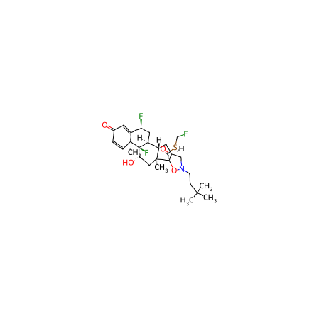 CC(C)(C)CCN1C[C@@H]2C[C@H]3[C@@H]4C[C@H](F)C5=CC(=O)C=C[C@]5(C)[C@@]4(F)[C@@H](O)C[C@]3(C)[C@]2(C(=O)SCF)O1